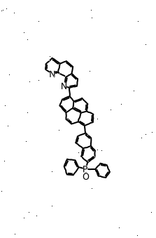 O=P(c1ccccc1)(c1ccccc1)c1ccc2cc(-c3ccc4ccc5c(-c6ccc7ccc8cccnc8c7n6)ccc6ccc3c4c65)ccc2c1